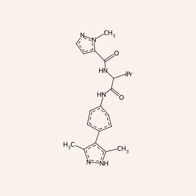 Cc1n[nH]c(C)c1-c1ccc(NC(=O)C(NC(=O)c2ccnn2C)C(C)C)cc1